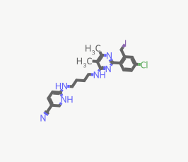 Cc1nc(-c2ccc(Cl)cc2CI)nc(NCCCCNC2=CC=C(C#N)CN2)c1C